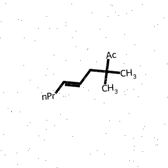 CCCC=CCC(C)(C)C(C)=O